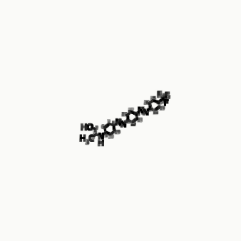 CC(CO)Nc1ccc(N=Nc2ccc(N=Nc3ccc(C(F)(F)F)cc3)cc2)cc1